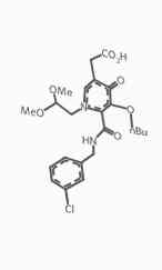 CCCCOc1c(C(=O)NCc2cccc(Cl)c2)n(CC(OC)OC)cc(CC(=O)O)c1=O